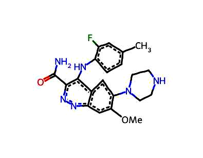 COc1cc2nnc(C(N)=O)c(Nc3ccc(C)cc3F)c2cc1N1CCNCC1